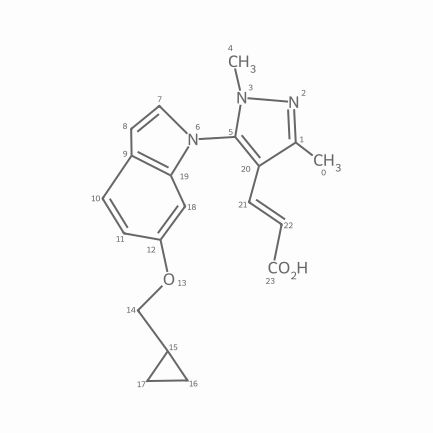 Cc1nn(C)c(-n2ccc3ccc(OCC4CC4)cc32)c1C=CC(=O)O